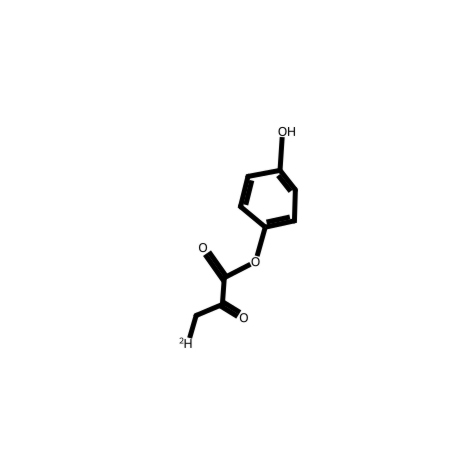 [2H]CC(=O)C(=O)Oc1ccc(O)cc1